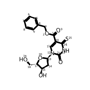 O=C(OCc1ccccc1)c1cn([C@H]2C[C@@H](O)[C@H](CO)O2)c(=O)[nH]c1=S